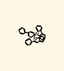 C1=CC(n2c(-c3ccccc3)cc3ccccc32)(n2c3ccccc3c3ccccc32)CC=C1c1ccccc1